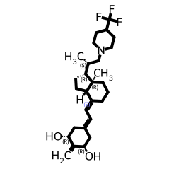 C=C1[C@H](O)CC(=C/C=C2\CCC[C@]3(C)[C@@H]([C@H](C)CN4CCC(C(F)(F)F)CC4)CC[C@@H]23)C[C@H]1O